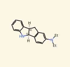 CCN(CC)c1ccc2c(c1)C[C@@H]1c3ccccc3N[C@H]21